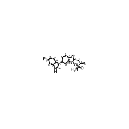 C=C(Cc1nc2ccc(-c3c[nH]c4cc(F)ccc34)cc2o1)S(N)(=O)=O